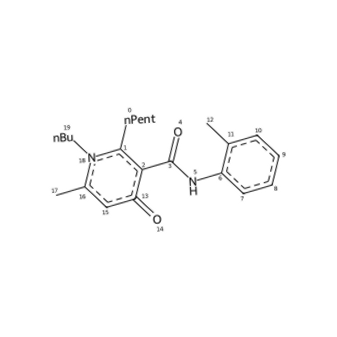 CCCCCc1c(C(=O)Nc2ccccc2C)c(=O)cc(C)n1CCCC